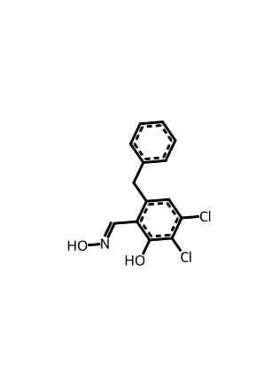 ON=Cc1c(Cc2ccccc2)cc(Cl)c(Cl)c1O